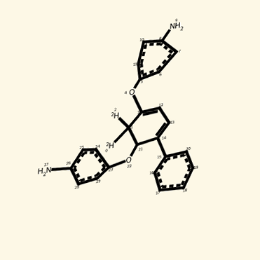 [2H]C1([2H])C(Oc2ccc(N)cc2)=CC=C(c2ccccc2)C1Oc1ccc(N)cc1